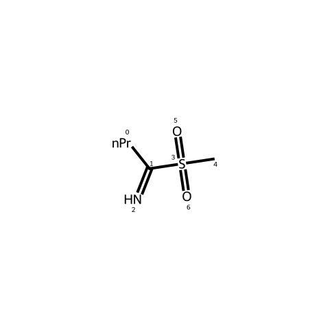 C[CH]CC(=N)S(C)(=O)=O